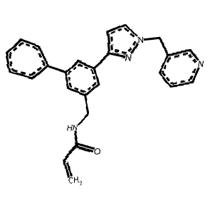 C=CC(=O)NCc1cc(-c2ccccc2)cc(-c2ccn(Cc3cccnc3)n2)c1